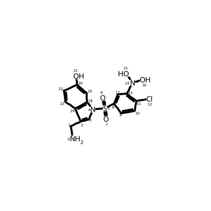 NCc1cn(S(=O)(=O)c2ccc(Cl)c(N(O)O)c2)c2cc(O)ccc12